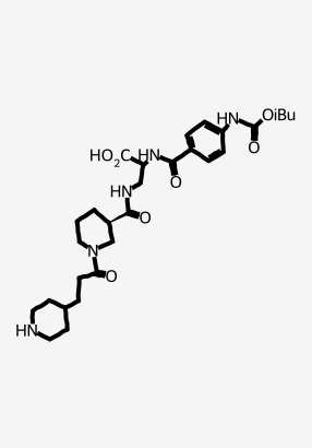 CC(C)COC(=O)Nc1ccc(C(=O)NC(CNC(=O)[C@@H]2CCCN(C(=O)CCC3CCNCC3)C2)C(=O)O)cc1